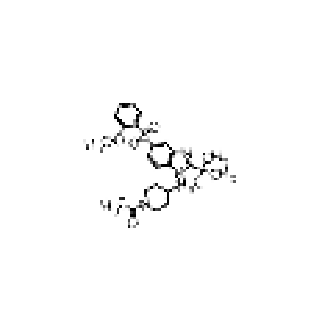 COc1ccccc1S(=O)(=O)c1ccc2c(c1)nc(C(C)(C)C)n2CC1CCN(C(C)=O)CC1